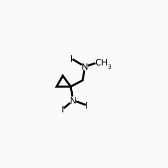 CN(I)CC1(N(I)I)CC1